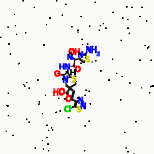 Nc1nc(C(=NO)C(=O)NC2C(=O)N3CC(C=Cc4nnsc4Cl)(C(=O)O)CS[C@H]23)cs1